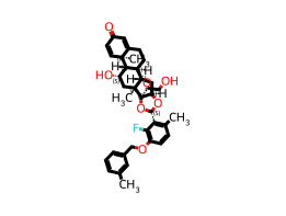 Cc1cccc(COc2ccc(C)c([C@H]3O[C@@H]4C[C@H]5[C@@H]6CCC7=CC(=O)C=C[C@]7(C)[C@H]6[C@@H](O)C[C@]5(C)[C@]4(C(=O)CO)O3)c2F)c1